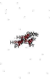 C#CCOc1ccc2c(c1)c(-c1ccc(C(C)C)cc1)nc(=O)n2Cc1cc(Br)c(OC)c(OC)c1.C#CCOc1ccc2c(c1)c(-c1ccc(C(C)C)cc1)nc(=O)n2Cc1ccc(Br)cc1.C#CCOc1ccc2c(c1)c(-c1ccc(C(C)C)cc1)nc(=O)n2Cc1cccc(Br)c1